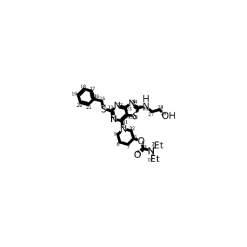 CCN(CC)C(=O)OC1CCCN(c2nc(SCc3ccccc3)nc3nc(NCCO)sc23)C1